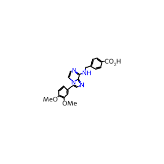 COc1ccc(-c2cnc3c(NCc4ccc(C(=O)O)cc4)nccn23)cc1OC